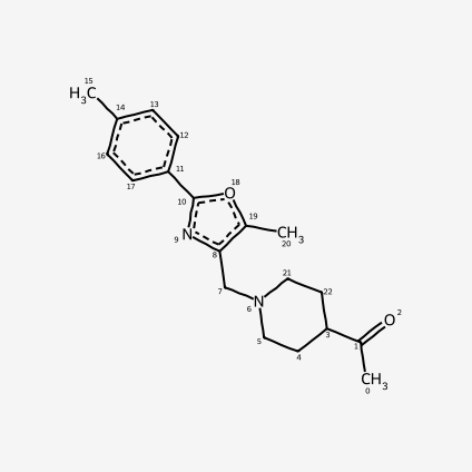 CC(=O)C1CCN(Cc2nc(-c3ccc(C)cc3)oc2C)CC1